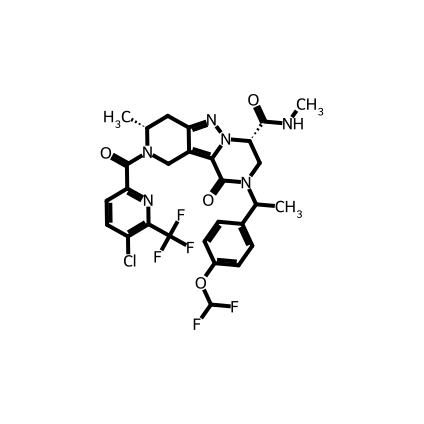 CNC(=O)[C@@H]1CN(C(C)c2ccc(OC(F)F)cc2)C(=O)c2c3c(nn21)C[C@@H](C)N(C(=O)c1ccc(Cl)c(C(F)(F)F)n1)C3